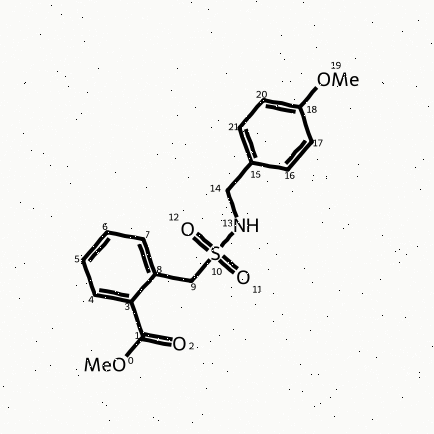 COC(=O)c1ccccc1CS(=O)(=O)NCc1ccc(OC)cc1